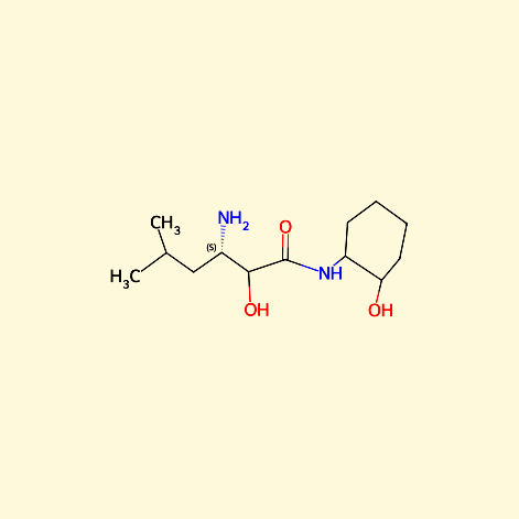 CC(C)C[C@H](N)C(O)C(=O)NC1CCCCC1O